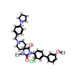 CCOc1cccc(-c2ccc(N3C(=O)N(CC)C4(CCN(Cc5ccc(N6CCCC6)cc5)CC4)C3=O)c(Cl)c2)c1